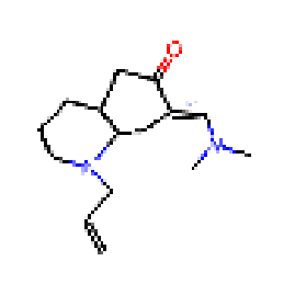 C=CCN1CCCC2CC(=O)/C(=C/N(C)C)CC21